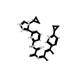 C=C(/N=C(C)\C=C(/C)c1ccc(C2CC2)nc1)C(=O)Nc1cccc(-c2nncn2C2CC2)n1